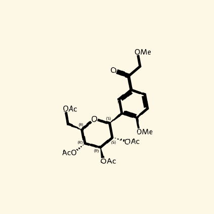 COCC(=O)c1ccc(OC)c([C@@H]2O[C@H](COC(C)=O)[C@@H](OC(C)=O)[C@H](OC(C)=O)[C@H]2OC(C)=O)c1